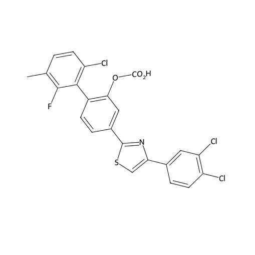 Cc1ccc(Cl)c(-c2ccc(-c3nc(-c4ccc(Cl)c(Cl)c4)cs3)cc2OC(=O)O)c1F